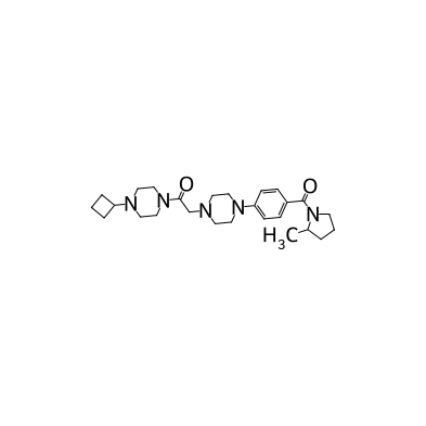 CC1CCCN1C(=O)c1ccc(N2CCN(CC(=O)N3CCN(C4CCC4)CC3)CC2)cc1